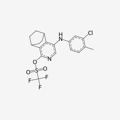 Cc1ccc(Nc2cnc(OS(=O)(=O)C(F)(F)F)c3c2C2CCC3CC2)cc1Cl